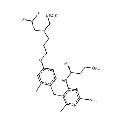 CCC[C@@H](CCOC(C)=O)Nc1nc(N)nc(C)c1Cc1ccc(OCCCN(CC(=O)OCC)CC(F)F)cc1C